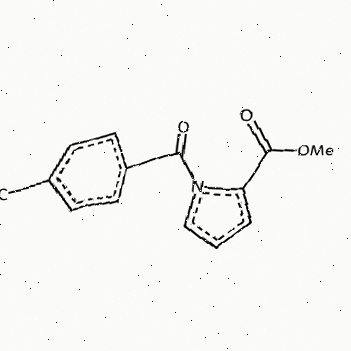 COC(=O)c1cccn1C(=O)c1ccc(C#N)cc1